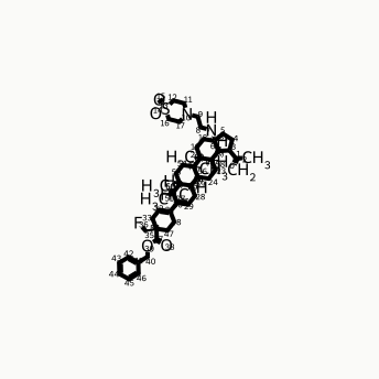 C=C(C)C1CC[C@]2(NCCN3CCS(=O)(=O)CC3)CC[C@]3(C)[C@H](CC[C@@H]4[C@@]5(C)CC=C(C6=CC[C@@](CF)(C(=O)OCc7ccccc7)CC6)C(C)(C)[C@@H]5CC[C@]43C)[C@@H]12